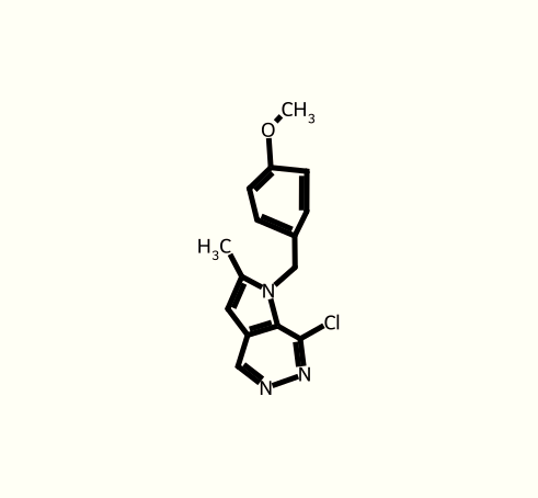 COc1ccc(Cn2c(C)cc3cnnc(Cl)c32)cc1